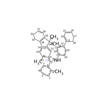 Cc1ccccc1/C(Nc1ccc(C2=CC=CCC2)cc1)=C1/C=C2C(=CC1C)C1=C(C=CCC1)C2(C)C